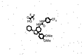 COc1ccc(C23CCC(NC(=O)Nc4ccc(C(F)(F)F)cc4)CC2N(C2CCCCC2)CC3)cc1OC.O=C(O)C(F)(F)F